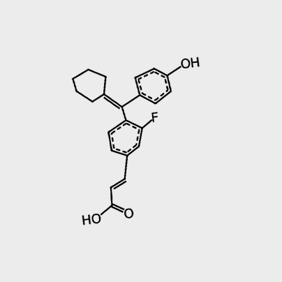 O=C(O)C=Cc1ccc(C(=C2CCCCC2)c2ccc(O)cc2)c(F)c1